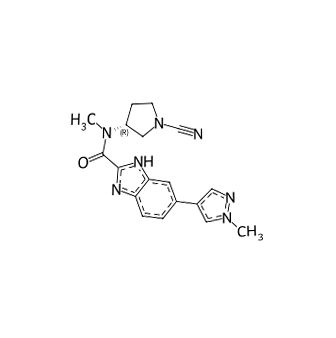 CN(C(=O)c1nc2ccc(-c3cnn(C)c3)cc2[nH]1)[C@@H]1CCN(C#N)C1